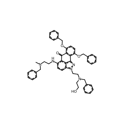 CN(CCNc1ccc2c3c(nn2CCN(CCO)Cc2ccccc2)-c2c(OCc4ccccc4)ccc(OCc4ccccc4)c2C(=O)c13)Cc1ccccc1